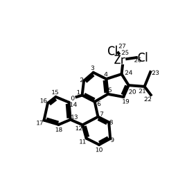 Cc1ccc2c(c1-c1ccccc1-c1ccccc1)C=C(C(C)C)[CH]2[Zr]([Cl])[Cl]